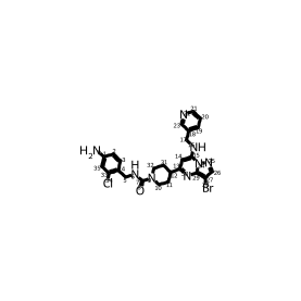 Nc1ccc(CNC(=O)N2CCC(c3cc(NCc4cccnc4)n4ncc(Br)c4n3)CC2)c(Cl)c1